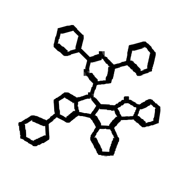 c1ccc(-c2ccc3c(c2)c2c4ccccc4c4c5ccccc5sc4c2n3-c2cc(-c3ccccc3)nc(-c3ccccc3)n2)cc1